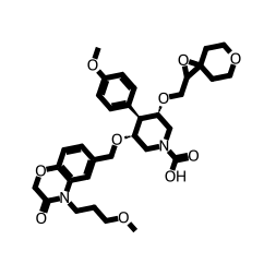 COCCCN1C(=O)COc2ccc(CO[C@H]3CN(C(=O)O)C[C@@H](OCC4OC45CCOCC5)[C@@H]3c3ccc(OC)cc3)cc21